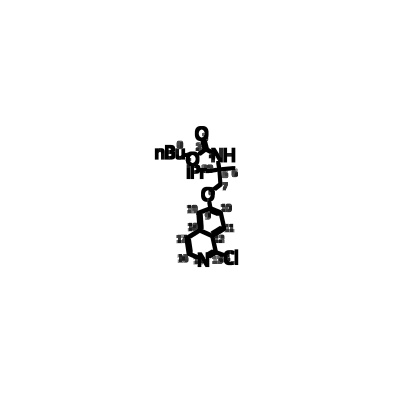 CCCCOC(=O)NC(C)(COc1ccc2c(Cl)nccc2c1)C(C)C